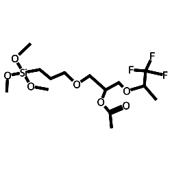 CO[Si](CCCOCC(COC(C)C(F)(F)F)OC(C)=O)(OC)OC